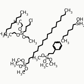 CCCCCCCCCCCCCCCCCC[Si](OC)(OC)OC.CCCCCC[SiH2]O.CCO[Si](CCCCl)(OCC)OCC.CO[Si](CCc1ccccc1)(OC)OC.[CH2]CCCCCCC